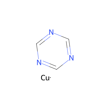 [Cu].c1ncncn1